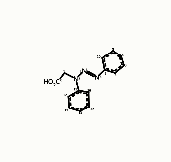 O=C(O)CN(/N=N/c1ccccc1)c1ccccc1